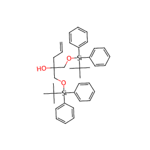 C=CCC(O)(CO[Si](c1ccccc1)(c1ccccc1)C(C)(C)C)CO[Si](c1ccccc1)(c1ccccc1)C(C)(C)C